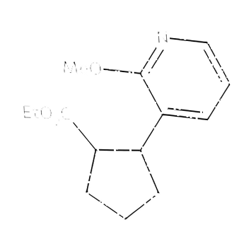 CCOC(=O)C1CCCC1c1cccnc1OC